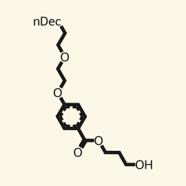 CCCCCCCCCCCCOCCOc1ccc(C(=O)OCCCO)cc1